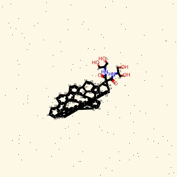 O=C(NC(CO)CO)C1(C(=O)NC(CO)CO)C2c3c4c5c6c3c3c(c7ccc8c9ccc%10c%11ccc%12c%13c(c%14c6c6c3c7c8c3c9c%10c(c%13%11)c%14c36)C5C%12C=C4)C21